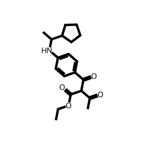 CCOC(=O)C(C(C)=O)C(=O)c1ccc(NC(C)C2CCCC2)cc1